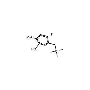 COc1ccc(C[N+](C)(C)C)cc1O.[I-]